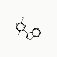 Fc1cnc(Cl)nc1C1=CCc2ccccc21